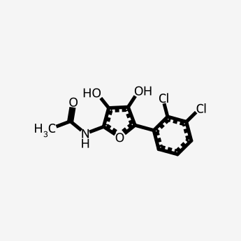 CC(=O)Nc1oc(-c2cccc(Cl)c2Cl)c(O)c1O